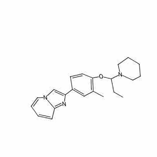 CCC(Oc1ccc(-c2cn3ccccc3n2)cc1C)N1CCCCC1